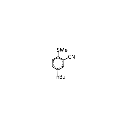 CCCCc1ccc(SC)c(C#N)c1